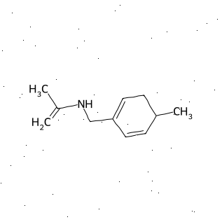 C=C(C)NCC1=CCC(C)C=C1